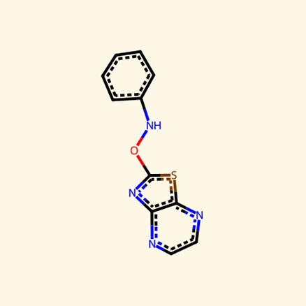 c1ccc(NOc2nc3nccnc3s2)cc1